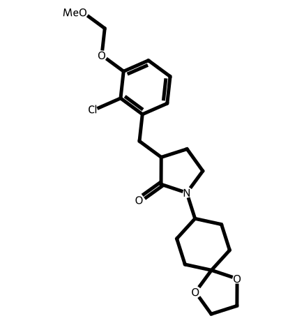 COCOc1cccc(CC2CCN(C3CCC4(CC3)OCCO4)C2=O)c1Cl